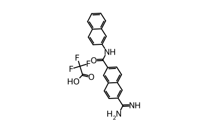 N=C(N)c1ccc2cc(C(=O)Nc3ccc4ccccc4c3)ccc2c1.O=C(O)C(F)(F)F